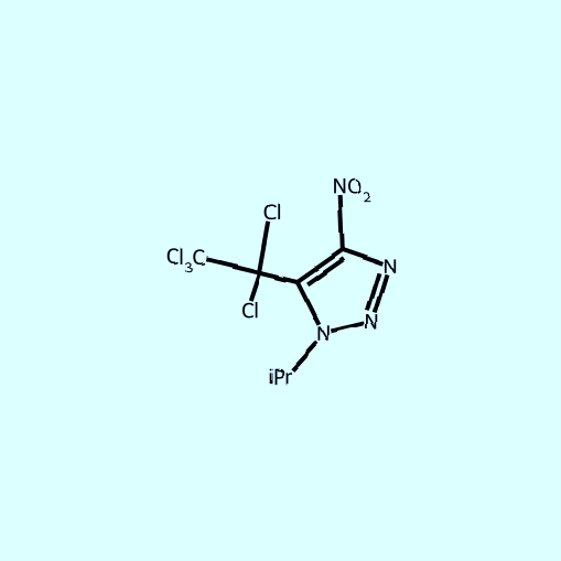 CC(C)n1nnc([N+](=O)[O-])c1C(Cl)(Cl)C(Cl)(Cl)Cl